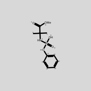 COC(=O)C(C)(C)NP(=O)(O)Oc1ccccc1